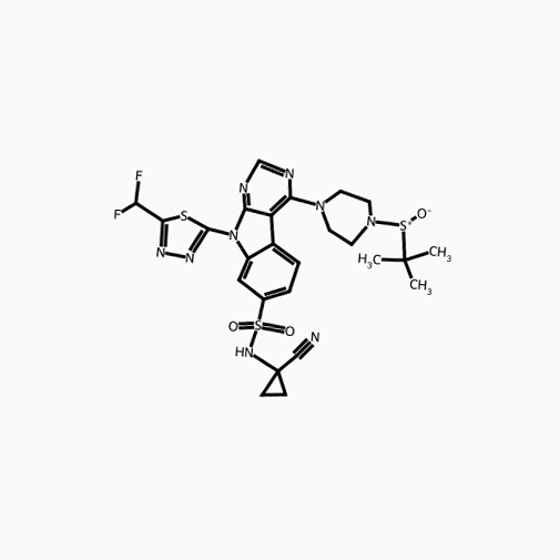 CC(C)(C)[S+]([O-])N1CCN(c2ncnc3c2c2ccc(S(=O)(=O)NC4(C#N)CC4)cc2n3-c2nnc(C(F)F)s2)CC1